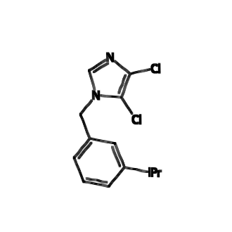 CC(C)c1cccc(Cn2cnc(Cl)c2Cl)c1